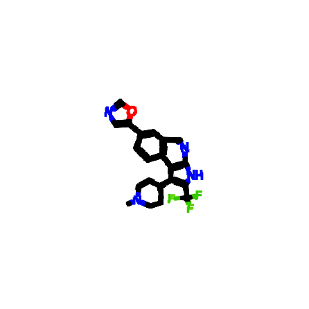 CN1CCC(c2c(C(F)(F)F)[nH]c3ncc4cc(-c5cnco5)ccc4c23)CC1